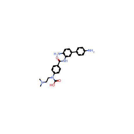 CN(C)CCN(C(=O)O)c1ccc(C(=O)Nc2cc(-c3ccc(N)cc3)ccc2N)cc1